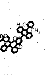 C=Cc1c(/C=C\C)c(-c2ccccc2)c2ccccc2c1-c1cccc2oc3cc(-c4c5ccccc5c(-c5c(C)cccc5C)c5ccccc45)ccc3c12